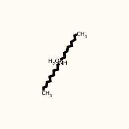 CCCCCCCCCCNCCCCCCCCCC.O